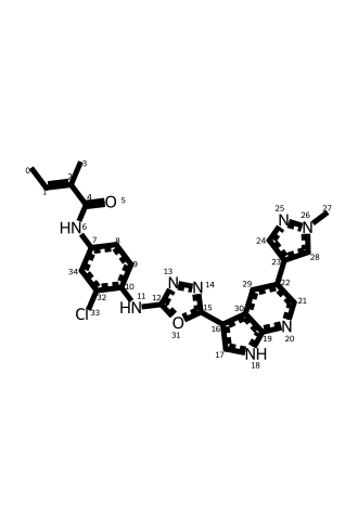 CC=C(C)C(=O)Nc1ccc(Nc2nnc(-c3c[nH]c4ncc(-c5cnn(C)c5)cc34)o2)c(Cl)c1